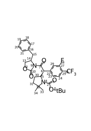 CC(C)(C)OC(=O)N1C([C@@H](C(=O)N2C(=O)OCC2Cc2ccccc2)c2ccc(C(F)(F)F)c(F)c2)CCC1(C)C